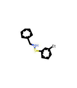 CCc1cccc(SNCc2ccccc2)c1